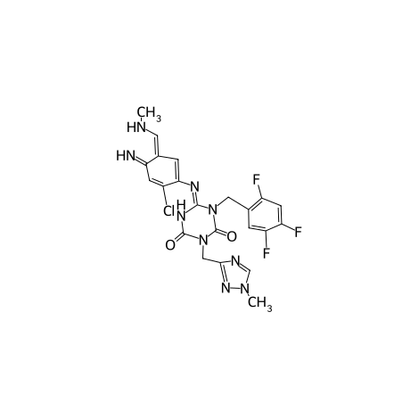 CN/C=C1C=C(/N=c2\[nH]c(=O)n(Cc3ncn(C)n3)c(=O)n2Cc2cc(F)c(F)cc2F)C(Cl)=CC/1=N